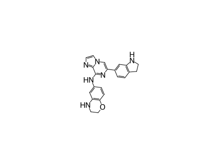 c1cn2cc(-c3ccc4c(c3)NCC4)nc(Nc3ccc4c(c3)NCCO4)c2n1